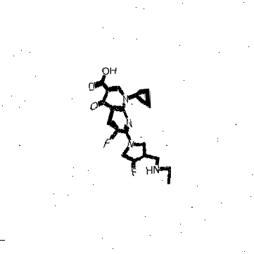 CCNCC1CN(c2nc3c(cc2F)c(=O)c(C(=O)O)cn3C2CC2)CC1F